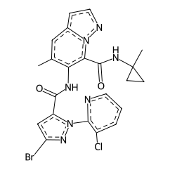 Cc1cc2ccnn2c(C(=O)NC2(C)CC2)c1NC(=O)c1cc(Br)nn1-c1ncccc1Cl